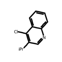 CC(C)c1cnc2ccccc2c1Cl